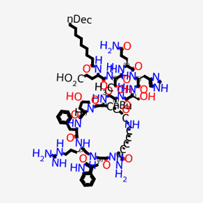 CCCCCCCCCCCCCCCCCCC(=O)NC(CCC(=O)O)C(=O)N[C@H](C(=O)N[C@@H](CCC(N)=O)C(=O)N[C@@H](Cc1c[nH]cn1)C(=O)N[C@@H](CO)C(=O)N[C@@H](CCCC)C(=O)N[C@H]1CCC(=O)CNCCCC[C@@H](C(N)=O)NC(=O)[C@H](Cc2c[nH]c3ccccc23)NC(=O)[C@H](CCCNC(=N)N)NC(=O)C(Cc2ccccc2)NC(=O)[C@@H]2CC(O)CN2C1=O)C(C)O